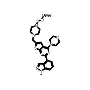 COOSN1CCN(Cc2cc3c(N4CCOCC4)nc(-c4cccc5[nH]ncc45)nc3s2)CC1